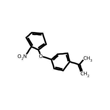 C=C(C)c1ccc(Oc2ccccc2[N+](=O)[O-])cc1